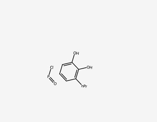 CCCc1cccc(O)c1O.O=PCl